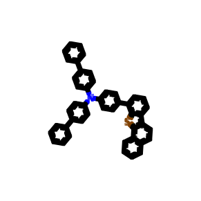 c1ccc(-c2ccc(N(c3ccc(-c4ccccc4)cc3)c3ccc(-c4cccc5c4sc4c6ccccc6ccc54)cc3)cc2)cc1